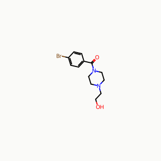 O=C(c1ccc(Br)cc1)N1CCN(CCO)CC1